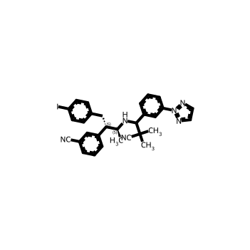 C[C@H](NC(c1cccc(-n2nccn2)c1)C(C)(C)C#N)[C@@H](Cc1ccc(I)cc1)c1cccc(C#N)c1